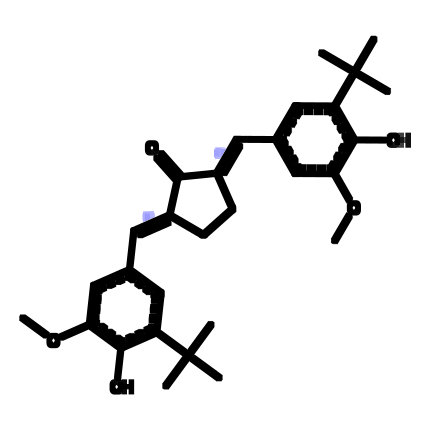 COc1cc(/C=C2\CC/C(=C\c3cc(OC)c(O)c(C(C)(C)C)c3)C2=O)cc(C(C)(C)C)c1O